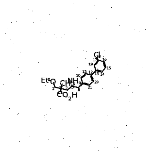 CCOC[C@](C)(C[C@H](N)Cc1ccc(-c2cccc(Cl)c2)cc1)C(=O)O